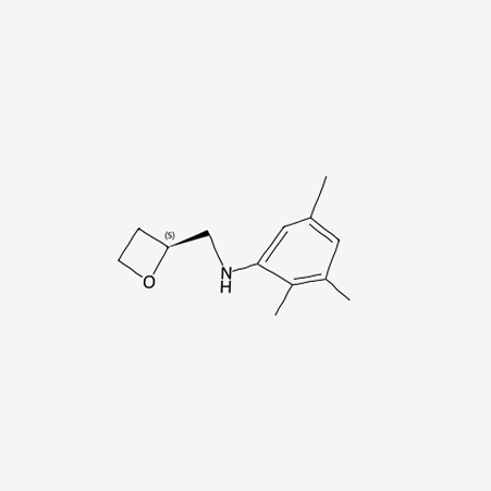 Cc1cc(C)c(C)c(NC[C@@H]2CCO2)c1